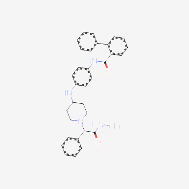 CCCNC(=O)C(c1ccccc1)N1CCC(Nc2ccc(NC(=O)c3ccccc3-c3ccccc3)cc2)CC1